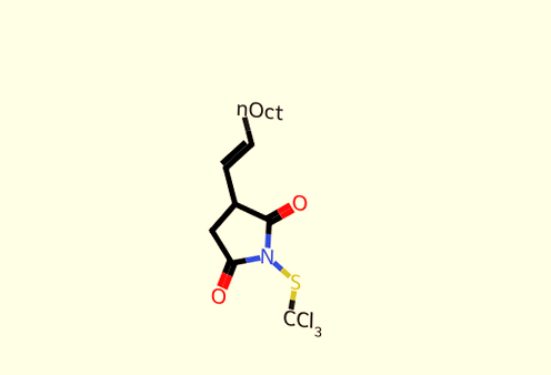 CCCCCCCCC=CC1CC(=O)N(SC(Cl)(Cl)Cl)C1=O